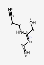 N#CCCN/C(CO)=N\N=N